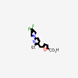 CCc1nc(N2CC3C(C2)C3(F)F)ccc1Cc1ccc(C(=O)O)o1